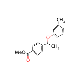 COC(=O)c1ccc(C(C)Oc2cccc(C)c2)cc1